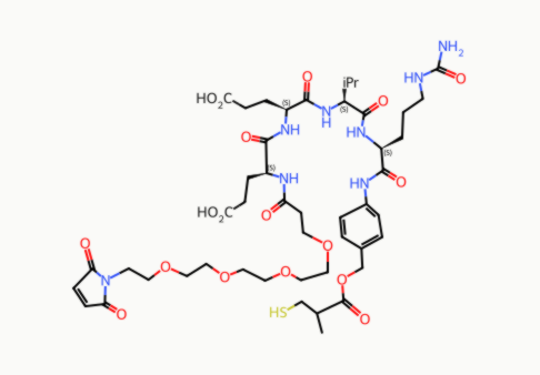 CC(CS)C(=O)OCc1ccc(NC(=O)[C@H](CCCNC(N)=O)NC(=O)[C@@H](NC(=O)[C@H](CCC(=O)O)NC(=O)[C@H](CCC(=O)O)NC(=O)CCOCCOCCOCCOCCN2C(=O)C=CC2=O)C(C)C)cc1